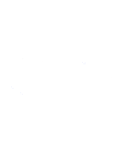 Cc1c(OC2CCC(NCC3CCOC3)CC2)ccc2[nH]ncc12